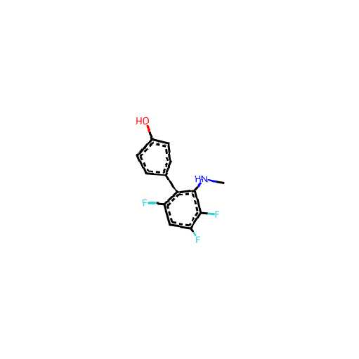 CNc1c(F)c(F)cc(F)c1-c1ccc(O)cc1